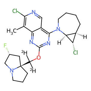 [2H]C([2H])(Oc1nc(N2CCCC[C@H]3[C@H](Cl)[C@H]32)c2cnc(Cl)c(C)c2n1)[C@@]12CCCN1C[C@H](F)C2